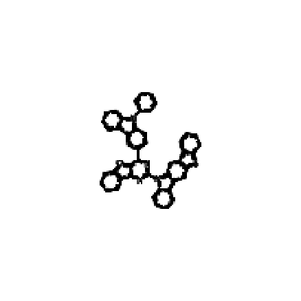 c1ccc(-n2c3ccccc3c3cc(-c4nc(-n5c6ccccc6c6cc7sc8ccccc8c7cc65)nc5c4oc4ccccc45)ccc32)cc1